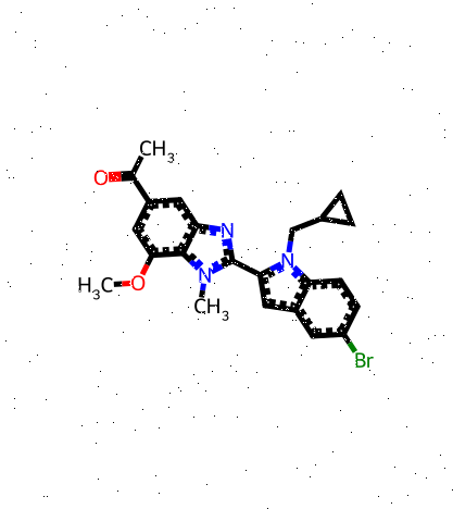 COc1cc(C(C)=O)cc2nc(-c3cc4cc(Br)ccc4n3CC3CC3)n(C)c12